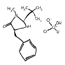 CN1C(=O)[C@H](Cc2ccccc2)N[C@@H]1C(C)(C)C.[O-][Cl+3]([O-])([O-])O